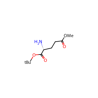 COC(=O)CC[C@@H](N)C(=O)OC(C)(C)C